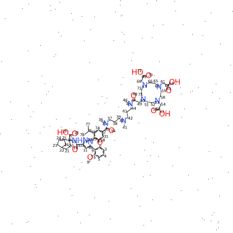 COc1cccc(OC)c1-c1cc(C(=O)NC2(C(=O)O)CCC3CC=C2C3)nn1-c1ccc(C(=O)N(C)CCCN(C)CCCN(C)C(=O)CN2CCN(CC(=O)O)CCN(CC(=O)O)CCN(CC(=O)O)CC2)cc1C(C)C